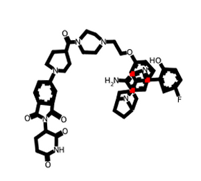 Nc1nnc(-c2cc(F)ccc2O)cc1N1C2CCC1CN(c1cccc(OCCN3CCN(C(=O)C4CCN(c5ccc6c(c5)C(=O)N(C5CCC(=O)NC5=O)C6=O)CC4)CC3)c1)C2